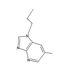 CCCn1cnc2ncc(C)cc21